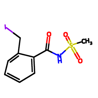 CS(=O)(=O)NC(=O)c1ccccc1CI